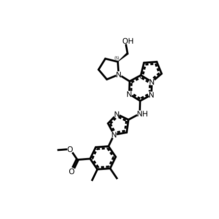 COC(=O)c1cc(-n2cnc(Nc3nc(N4CCC[C@H]4CO)c4cccn4n3)c2)cc(C)c1C